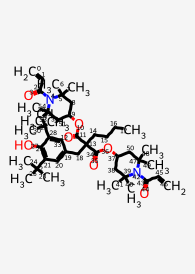 C=CC(=O)N1C(C)(C)CC(OC(=O)C(CCCC)(Cc2cc(C(C)(C)C)c(O)c(C(C)(C)C)c2)C(=O)OC2CC(C)(C)N(C(=O)C=C)C(C)(C)C2)CC1(C)C